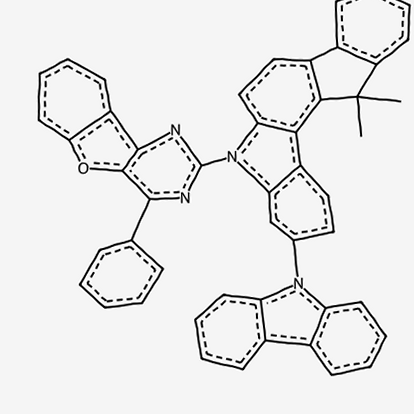 CC1(C)c2ccccc2-c2ccc3c(c21)c1ccc(-n2c4ccccc4c4ccccc42)cc1n3-c1nc(-c2ccccc2)c2oc3ccccc3c2n1